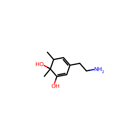 CC1C=C(CCN)C=C(O)C1(C)O